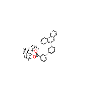 CC1(C)OB(c2cccc(-c3cccc(-c4cc5ccccc5c5ccccc45)c3)c2)OC1(C)C